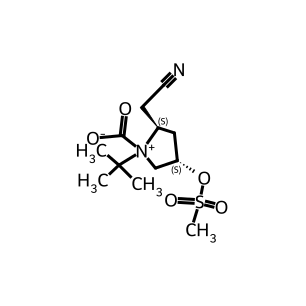 CC(C)(C)[N+]1(C(=O)[O-])C[C@@H](OS(C)(=O)=O)C[C@@H]1CC#N